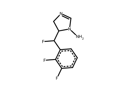 NN1C=NCC1C(F)c1cccc(F)c1F